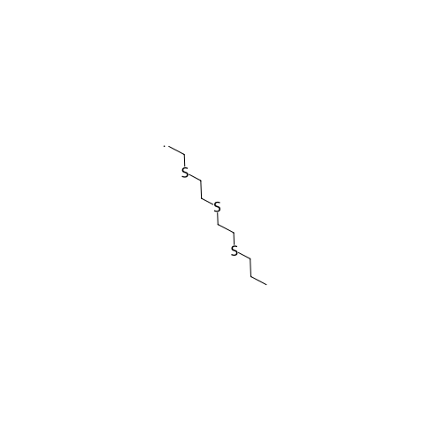 [CH2]CSCCSCCSCCC